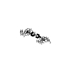 CC1(C)OB(c2ccc(N3CCC(CO[Si](C)(C)C(C)(C)C)CC3)nc2)OC1(C)C